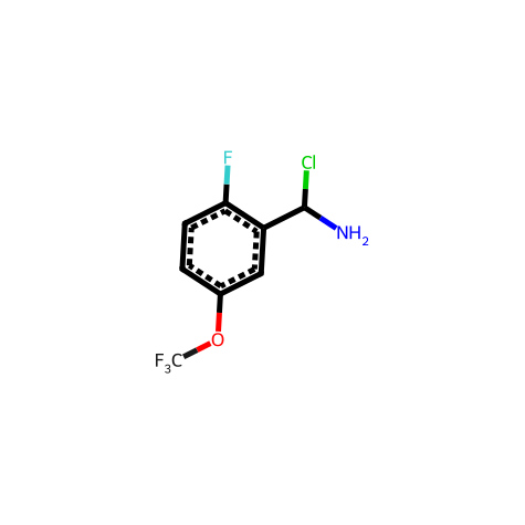 NC(Cl)c1cc(OC(F)(F)F)ccc1F